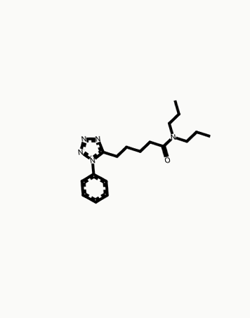 CCCN(CCC)C(=O)CCCCc1nnnn1-c1ccccc1